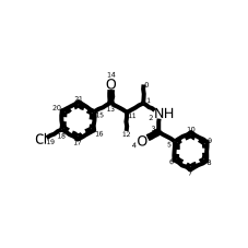 CC(NC(=O)c1ccccc1)C(C)C(=O)c1ccc(Cl)cc1